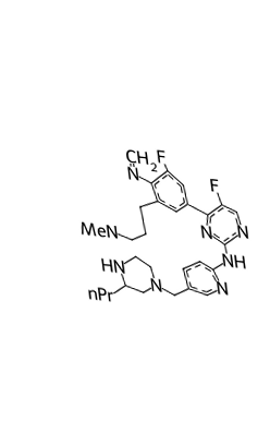 C=Nc1c(F)cc(-c2nc(Nc3ccc(CN4CCNC(CCC)C4)cn3)ncc2F)cc1CCCNC